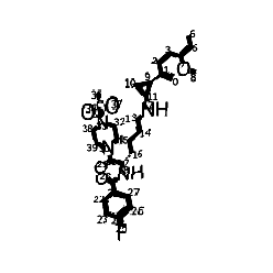 C=C(/C=C\C(=C/C)OC)[C@@H]1CC1NCCCC[C@H](NC(=O)c1ccc(F)cc1)C(=O)N1CCN(S(C)(=O)=O)CC1